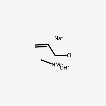 C=CCCl.CNC.[Na+].[OH-]